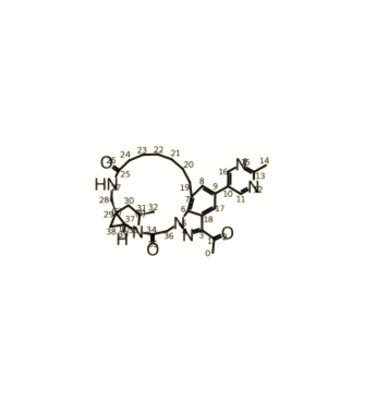 CC(=O)c1nn2c3c(cc(-c4cnc(C)nc4)cc13)CCCCCCC(=O)NC[C@@]13C[C@@H](C)N(C(=O)C2)[C@@H]1C3